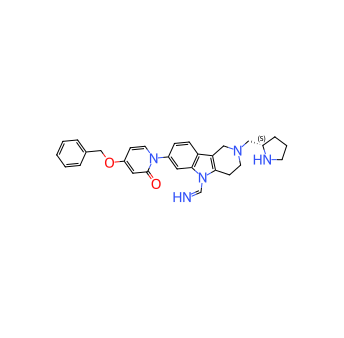 N=Cn1c2c(c3ccc(-n4ccc(OCc5ccccc5)cc4=O)cc31)CN(C[C@@H]1CCCN1)CC2